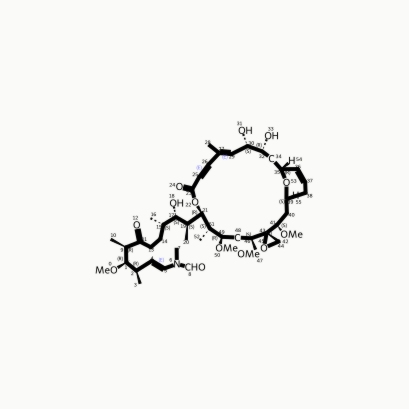 CO[C@H]([C@H](C)/C=C/N(C)C=O)[C@@H](C)C(=O)CC[C@H](C)[C@H](O)[C@H](C)[C@H]1OC(=O)/C=C/C(C)=C/[C@H](O)[C@H](O)C[C@@H]2C=CC[C@@H](C[C@H](OC)[C@@]3(CO3)[C@@H](OC)C[C@@H](OC)[C@@H]1C)O2